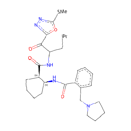 CSc1nnc(C(=O)C(CC(C)C)NC(=O)[C@@H]2CCCC[C@@H]2NC(=O)c2ccccc2CN2CCCC2)o1